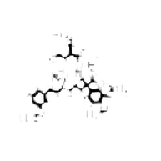 CCCC(C#N)C(C)C.CN=N[C@H](CCCC(C#N)(c1ccc(OC)c(OC)c1)C(C)C)CCc1cccc(OC)c1.Cl